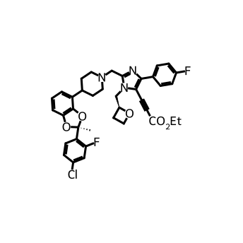 CCOC(=O)C#Cc1c(-c2ccc(F)cc2)nc(CN2CCC(c3cccc4c3O[C@@](C)(c3ccc(Cl)cc3F)O4)CC2)n1C[C@@H]1CCO1